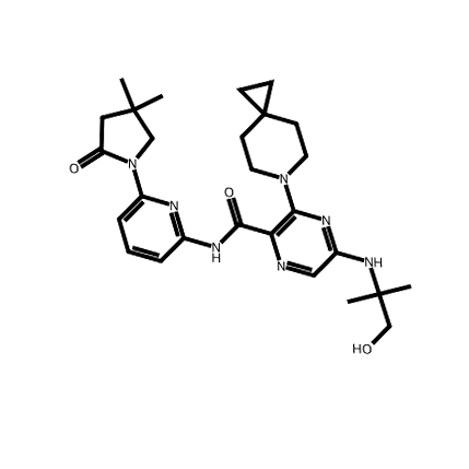 CC1(C)CC(=O)N(c2cccc(NC(=O)c3ncc(NC(C)(C)CO)nc3N3CCC4(CC3)CC4)n2)C1